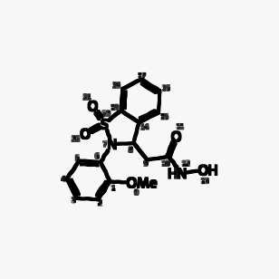 COc1ccccc1N1C(CC(=O)NO)c2ccccc2S1(=O)=O